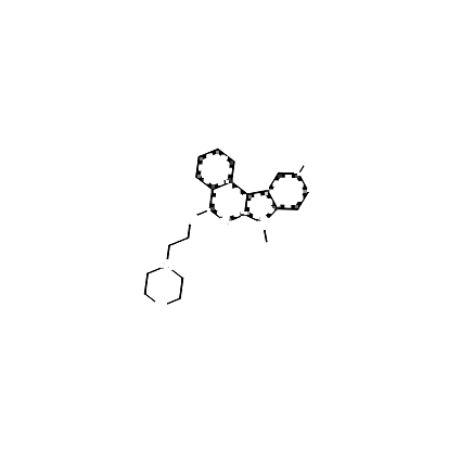 Cn1c2ccc(Cl)cc2c2c3ccccc3c(OCCN3CCOCC3)nc21